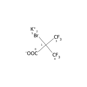 O=C([O-])C(Br)(C(F)(F)F)C(F)(F)F.[K+]